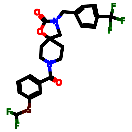 O=C1OC2(CCN(C(=O)c3cccc(SC(F)F)c3)CC2)CN1Cc1ccc(C(F)(F)F)cc1